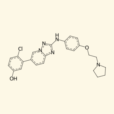 Oc1ccc(Cl)c(-c2ccc3nc(Nc4ccc(OCCN5CCCC5)cc4)nn3c2)c1